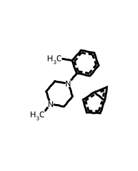 Cc1ccccc1N1CCN(C)CC1.c1cc2cc-2c1